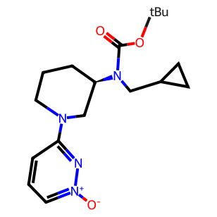 CC(C)(C)OC(=O)N(CC1CC1)[C@@H]1CCCN(c2ccc[n+]([O-])n2)C1